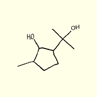 CC1CCC(C(C)(C)O)C1O